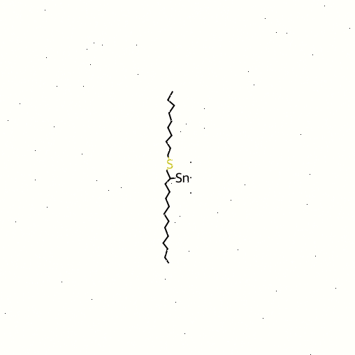 CCCCCCCCCCCC[CH]([Sn])CSCCCCCCCCCC